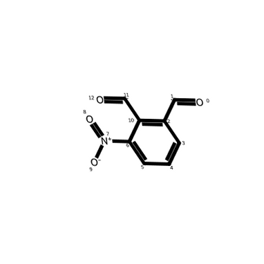 O=[C]c1cccc([N+](=O)[O-])c1[C]=O